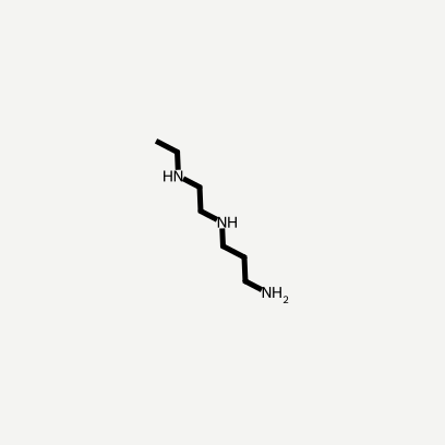 CCNCCNCCCN